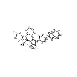 CC1CCC(P(C)(=O)N(CC2CCOCC2)c2cc(-c3ccc(-c4cc5ncccc5o4)cc3)sc2C(=O)O)CC1